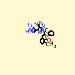 Cc1ccccc1-n1c(Cn2nc(-c3cn[nH]c3)c3c(N)ncnc32)cc2cccc(C)c2c1=O